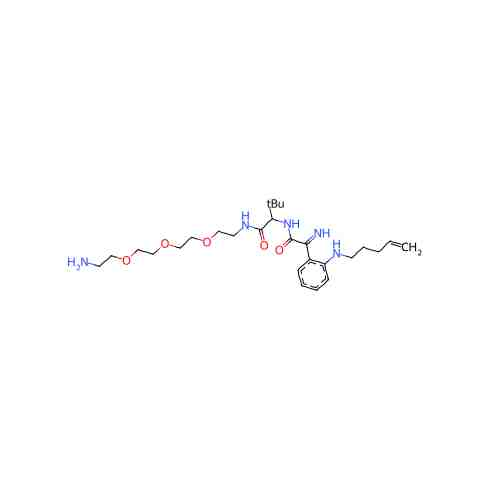 C=CCCCNc1ccccc1C(=N)C(=O)NC(C(=O)NCCOCCOCCOCCN)C(C)(C)C